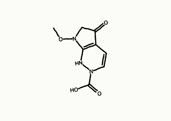 CON1CC(=O)C2=C1NN(C(=O)O)C=C2